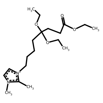 CCOC(=O)CCC(CCCC[n+]1ccn(C)c1C)(OCC)OCC